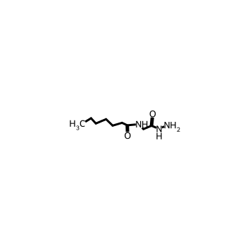 CCCCCCC(=O)NCC(=O)NN